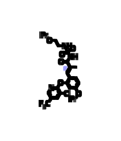 C/C(=C\c1ccc(OC(C)C)cc1Oc1ncc(C(F)(F)F)cc1Cl)C(=O)NS(=O)(=O)NCCOC(C)C